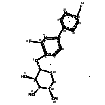 O[C@@H]1[C@@H](O)[C@@H](Oc2ccc(-c3ccc(F)nc3)nc2F)SC[C@H]1O